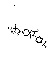 CC(C)(C)OC(=O)N1CCC2(CC1)NC(=O)N(c1ccc(C(F)(F)F)nc1)C2=O